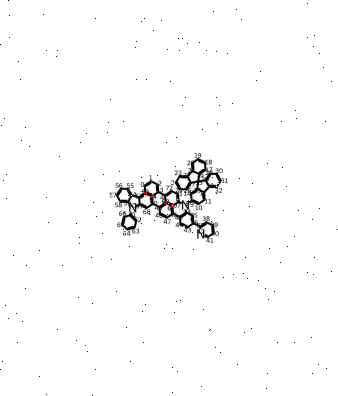 c1ccc(-c2ccc(N(c3ccc4c(c3)C3(c5ccccc5-c5ccccc53)c3ccccc3-4)c3cc(-c4ccccn4)ccc3-c3ccc(-c4ccc5c6ccccc6n(-c6ccccc6)c5c4)cc3)cc2)cc1